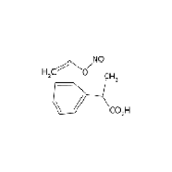 C=CON=O.CC(C(=O)O)c1ccccc1